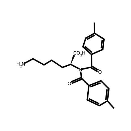 Cc1ccc(C(=O)N(C(=O)c2ccc(C)cc2)[C@@H](CCCCN)C(=O)O)cc1